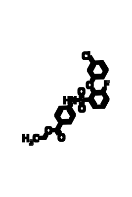 CCOC(=O)c1ccc(NS(=O)(=O)c2cccc(F)c2Oc2cccc(Cl)c2)cc1